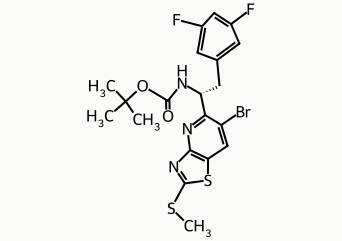 CSc1nc2nc([C@@H](Cc3cc(F)cc(F)c3)NC(=O)OC(C)(C)C)c(Br)cc2s1